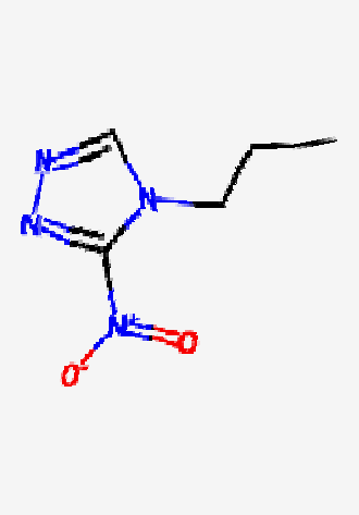 CCCn1cnnc1[N+](=O)[O-]